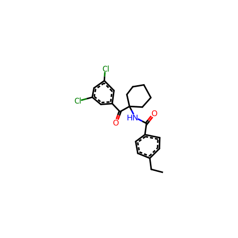 CCc1ccc(C(=O)NC2(C(=O)c3cc(Cl)cc(Cl)c3)CCCCC2)cc1